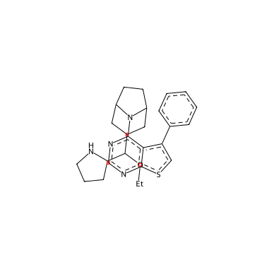 CCOC(C1CC2CCC(C1)N2c1ncnc2scc(-c3ccccc3)c12)C1CCCN1